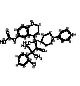 CC(C)(C(=O)[N+](C)(C1CCN(c2ccncc2)CC1)C1CCOc2ccc(OC(=O)O)cc21)c1ccccc1Cl